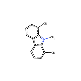 Cn1c2c(C#N)cccc2c2cccc(C#N)c21